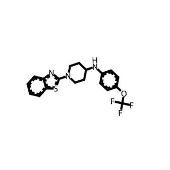 FC(F)(F)Oc1ccc(NC2CCN(c3nc4ccccc4s3)CC2)cc1